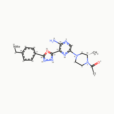 CCC(=O)N1CCN(c2cnc(N)c(-c3nnc(-c4ccc(CNC)cc4)o3)n2)C[C@@H]1C